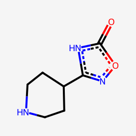 O=c1[nH]c(C2CCNCC2)no1